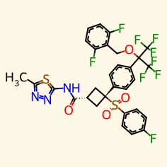 Cc1nnc(NC(=O)[C@H]2C[C@@](c3ccc(C(OCc4c(F)cccc4F)(C(F)(F)F)C(F)(F)F)cc3)(S(=O)(=O)c3ccc(F)cc3)C2)s1